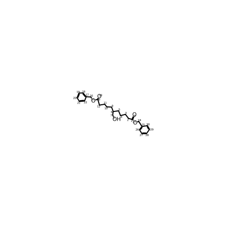 O=C(CCCCC(CO)CCCCC(=O)OCc1ccccc1)OCc1ccccc1